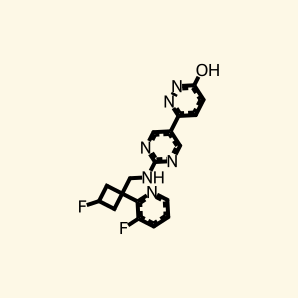 Oc1ccc(-c2cnc(NCC3(c4ncccc4F)CC(F)C3)nc2)nn1